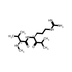 CN[C@H](C(=O)N[C@@H](CCCNC(=N)N)C(=O)C(C)C)C(C)C